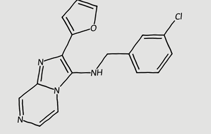 Clc1cccc(CNc2c(-c3ccco3)nc3cnccn23)c1